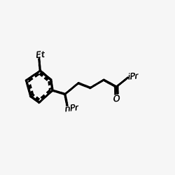 CCCC(CCCC(=O)C(C)C)c1cccc(CC)c1